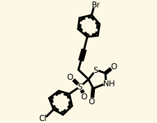 O=C1NC(=O)C(CC#Cc2ccc(Br)cc2)(S(=O)(=O)c2ccc(Cl)cc2)S1